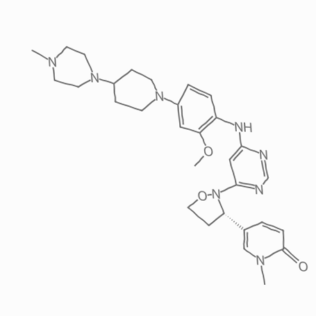 COc1cc(N2CCC(N3CCN(C)CC3)CC2)ccc1Nc1cc(N2OCC[C@H]2c2ccc(=O)n(C)c2)ncn1